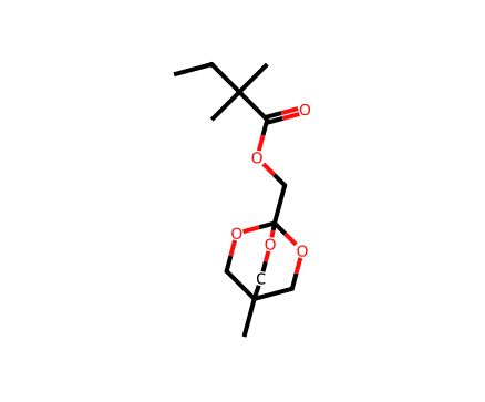 CCC(C)(C)C(=O)OCC12OCC(C)(CO1)CO2